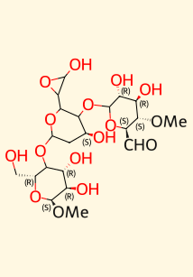 CO[C@H]1O[C@H](CO)C(OC2C[C@H](O)C(OC3O[C@H](C=O)[C@@H](OC)[C@H](O)[C@H]3O)C(C3OC3O)O2)[C@H](O)[C@H]1O